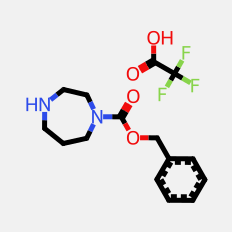 O=C(O)C(F)(F)F.O=C(OCc1ccccc1)N1CCCNCC1